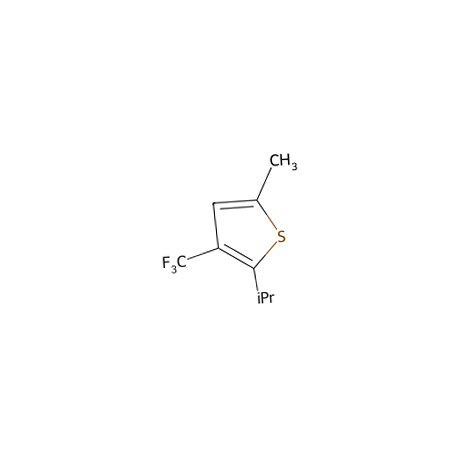 Cc1cc(C(F)(F)F)c(C(C)C)s1